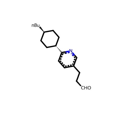 CCCC[C@H]1CC[C@H](c2ccc(CCC=O)cn2)CC1